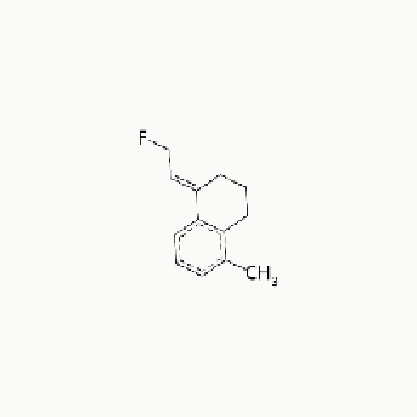 Cc1cccc2c1CCC/C2=C\CF